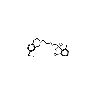 Cc1cccc(Cl)c1S(=O)(=O)NCCCCN1CCc2ccc([N+](=O)[O-])cc2C1